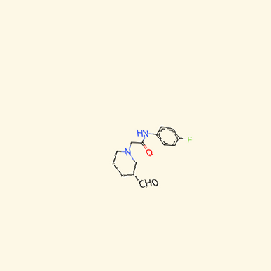 O=CC1CCCN(CC(=O)Nc2ccc(F)cc2)C1